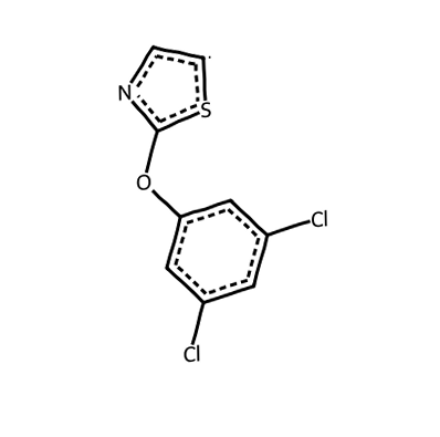 Clc1cc(Cl)cc(Oc2nc[c]s2)c1